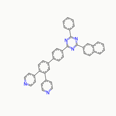 c1ccc(-c2nc(-c3ccc(-c4ccc(-c5ccncc5)c(-c5ccncc5)c4)cc3)nc(-c3ccc4ccccc4c3)n2)cc1